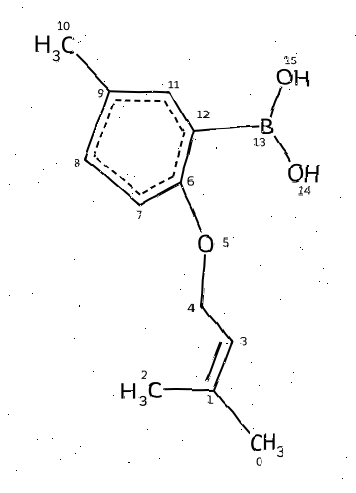 CC(C)=CCOc1ccc(C)cc1B(O)O